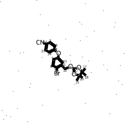 [C-]#[N+]c1ccc(Oc2ccc(Br)c(COB3OC(C)(C)C(C)(C)O3)c2)cc1